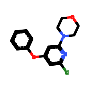 Clc1cc(Oc2ccccc2)cc(N2CCOCC2)n1